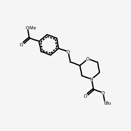 COC(=O)c1ccc(OCC2CN(C(=O)OC(C)(C)C)CCO2)cc1